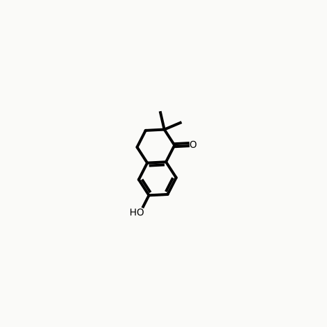 CC1(C)CCc2cc(O)ccc2C1=O